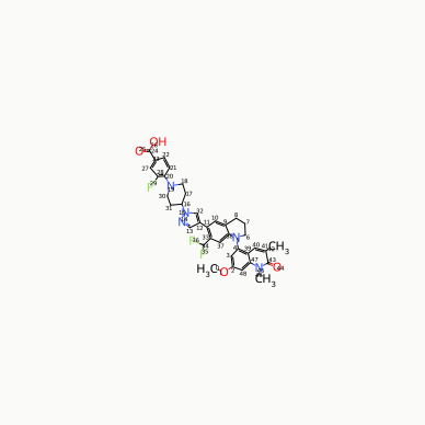 COc1cc(N2CCCc3cc(-c4cnn(C5CCN(c6ccc(C(=O)O)cc6F)CC5)c4)c(C(F)F)cc32)c2cc(C)c(=O)n(C)c2c1